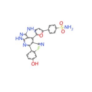 N#Cc1c(-c2ccc(O)cc2F)nc2[nH]nc(N)c2c1-c1ccc(-c2ccc(S(N)(=O)=O)cc2)o1